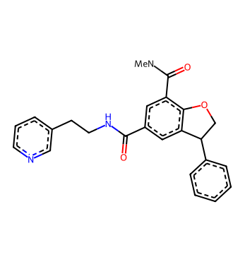 CNC(=O)c1cc(C(=O)NCCc2cccnc2)cc2c1OCC2c1ccccc1